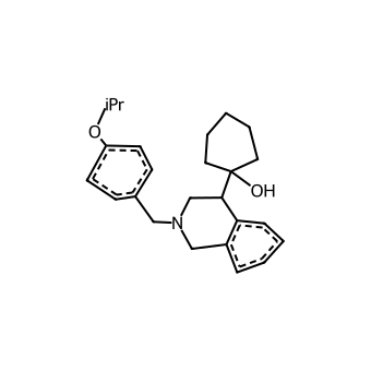 CC(C)Oc1ccc(CN2Cc3ccccc3C(C3(O)CCCCC3)C2)cc1